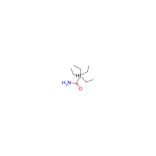 C[CH2][Hf]([CH2]C)([CH2]C)([CH2]C)[C](N)=O